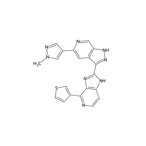 Cn1cc(-c2cc3c(-c4nc5c(-c6ccsc6)nccc5[nH]4)n[nH]c3cn2)cn1